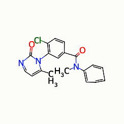 Cc1ccnc(=O)n1-c1cc(C(=O)N(C)c2ccccc2)ccc1Cl